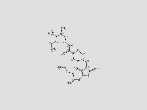 CCCCC(C)SC1CC(=O)N(CC2CCC(C(=O)NCCN(C)C(C)CCC)CC2)C1=O